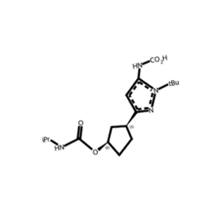 CC(C)NC(=O)O[C@@H]1CC[C@H](c2cc(NC(=O)O)n(C(C)(C)C)n2)C1